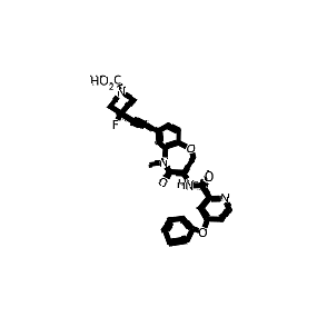 CN1C(=O)C(NC(=O)c2cc(Oc3ccccc3)ccn2)COc2ccc(C#CC3(F)CN(C(=O)O)C3)cc21